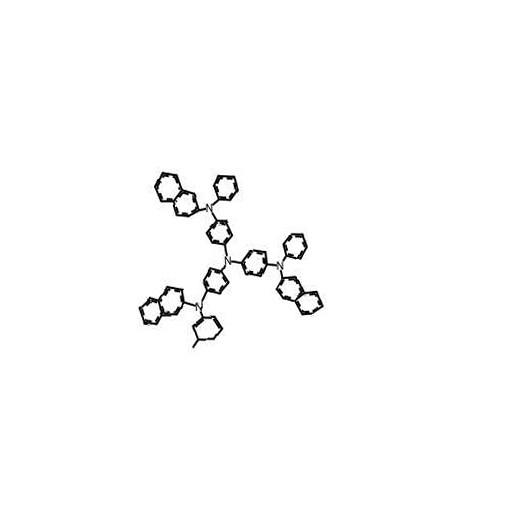 CC1C=C(N(c2ccc(N(c3ccc(N(c4ccccc4)c4ccc5ccccc5c4)cc3)c3ccc(N(c4ccccc4)c4ccc5ccccc5c4)cc3)cc2)c2ccc3ccccc3c2)C=CC1